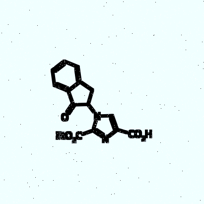 CCOC(=O)c1nc(C(=O)O)cn1C1Cc2ccccc2C1=O